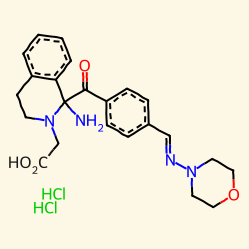 Cl.Cl.NC1(C(=O)c2ccc(C=NN3CCOCC3)cc2)c2ccccc2CCN1CC(=O)O